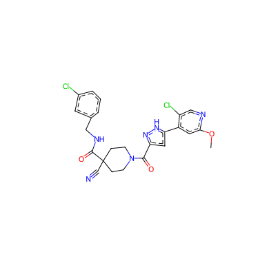 COc1cc(-c2cc(C(=O)N3CCC(C#N)(C(=O)NCc4cccc(Cl)c4)CC3)n[nH]2)c(Cl)cn1